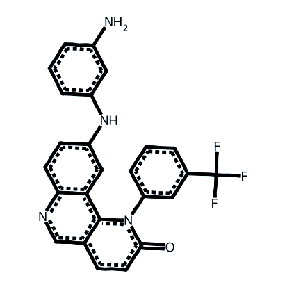 Nc1cccc(Nc2ccc3ncc4ccc(=O)n(-c5cccc(C(F)(F)F)c5)c4c3c2)c1